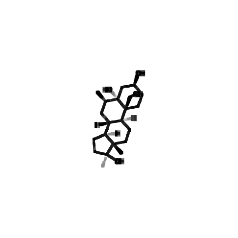 C[C@@H]1C[C@@H]2[C@H](CC[C@@]3(C)[C@H]2CC[C@]3(C)O)[C@@]2(CO)CC[C@H](O)C[C@]12O